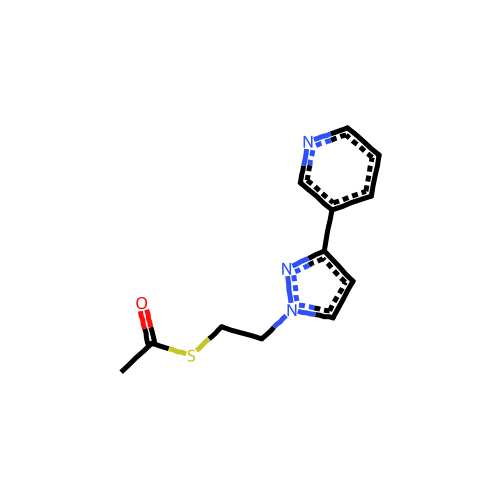 CC(=O)SCCn1ccc(-c2cccnc2)n1